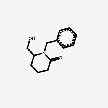 O=C1CCCC(CO)N1Cc1ccccc1